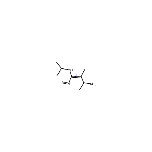 C=N/C(NC(C)C)=C(/C)C(C)N